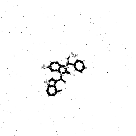 Cc1cccc2[nH]cc(C(C)n3c(=O)n(C(CC(=O)O)c4ccccc4)c4ccc(C#N)cc43)c12